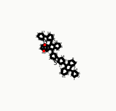 c1ccc(-c2c3ccccc3c(-c3ccc4c(c3)sc3ccc(-c5c6ccccc6c(-c6cccc7c8ccccc8n(-c8ccccc8)c67)c6ccccc56)cc34)c3ccccc23)cc1